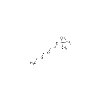 CCOCOCCOC(C)(C)C